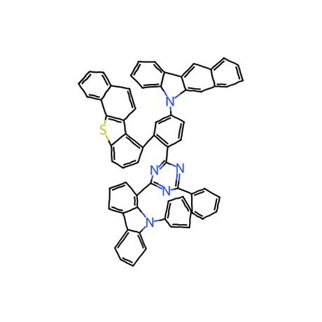 c1ccc(-c2nc(-c3ccc(-n4c5ccccc5c5cc6ccccc6cc54)cc3-c3cccc4sc5c6ccccc6ccc5c34)nc(-c3cccc4c5ccccc5n(-c5ccccc5)c34)n2)cc1